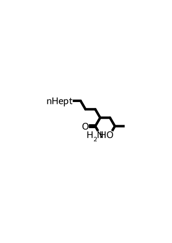 CCCCCCCCCCC(CC(C)O)C(N)=O